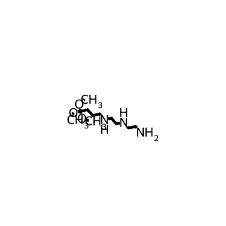 COC(CCCNCCNCCN)(OC)OC